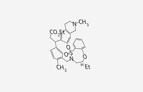 CCOC(=O)CC(c1ccc(C)c(CN2C[C@@H](CC)Oc3ccccc3S2(=O)=O)c1)c1ccc2c(c1)CCN(C)C2